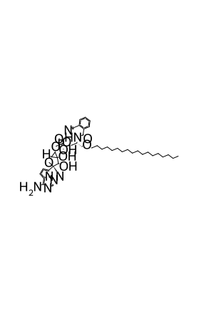 CCCCCCCCCCCCCCCCCCOC[C@H](COP(=O)(O)OC1[C@H]2O[C@@](C#N)(c3ccc4c(N)ncnn34)[C@H](O)[C@@]12O)NC(=O)c1ccccc1C#N